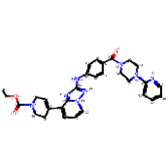 CCOC(=O)N1CC=C(c2cccn3nc(Nc4ccc(C(=O)N5CCN(c6ccccn6)CC5)cc4)nc23)CC1